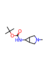 CN1CC2C(C1)C2NC(=O)OC(C)(C)C